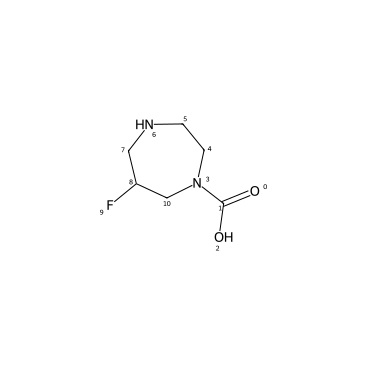 O=C(O)N1CCNCC(F)C1